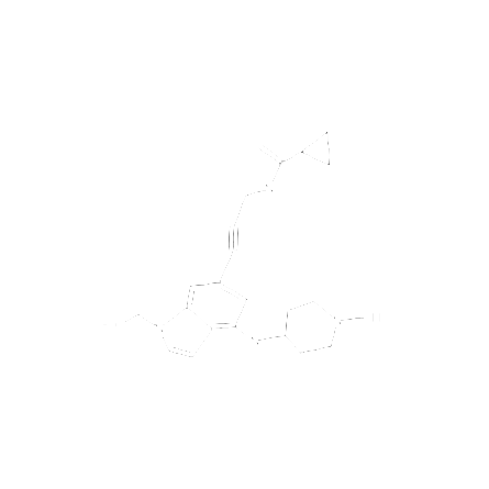 CN1CCC(Nc2cc(C#CCNC(=O)C3CC3)cc3c2ccn3CC(F)(F)F)CC1